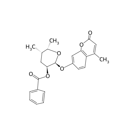 Cc1cc(=O)oc2cc(O[C@@H]3O[C@@H](C)[C@@H](C)C[C@@H]3OC(=O)c3ccccc3)ccc12